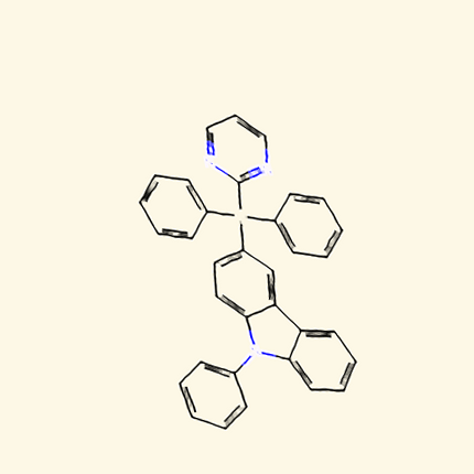 c1ccc(-n2c3ccccc3c3cc([Si](c4ccccc4)(c4ccccc4)c4ncccn4)ccc32)cc1